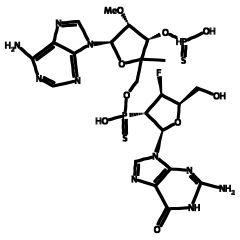 CO[C@H]1[C@H](n2cnc3c(N)ncnc32)OC(C)(COP(O)(=S)[C@@H]2[C@@H](F)[C@@H](CO)O[C@H]2n2cnc3c(=O)[nH]c(N)nc32)[C@H]1O[PH](O)=S